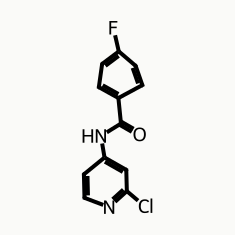 O=C(Nc1ccnc(Cl)c1)c1ccc(F)cc1